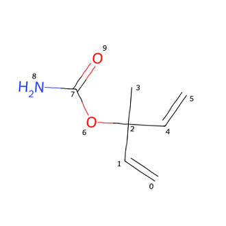 C=CC(C)(C=C)OC(N)=O